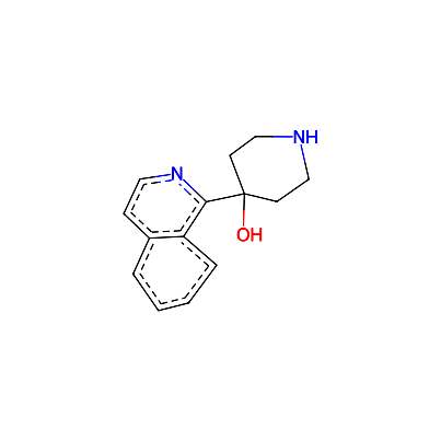 OC1(c2nccc3ccccc23)CCNCC1